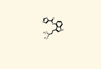 CN(C)CCc1c[nH]c2cccc(OC(=O)c3cncs3)c12